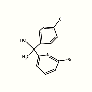 CC(O)(c1ccc(Cl)cc1)c1cccc(Br)n1